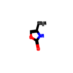 O=C(O)c1coc(=O)[nH]1